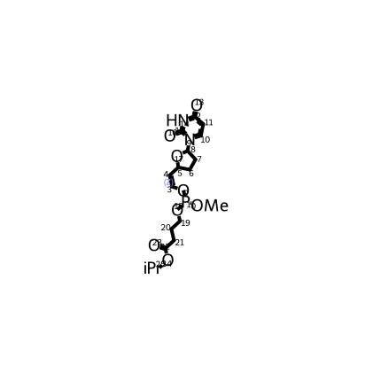 COP(O/C=C\C1CCC(n2ccc(=O)[nH]c2=O)O1)OCCCC(=O)OC(C)C